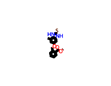 COC(=O)c1ccccc1COc1cc(C)c2[nH]c(=S)[nH]c2c1